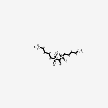 CCCCCS(=O)(=O)C(F)S(=O)(=O)CCCCC